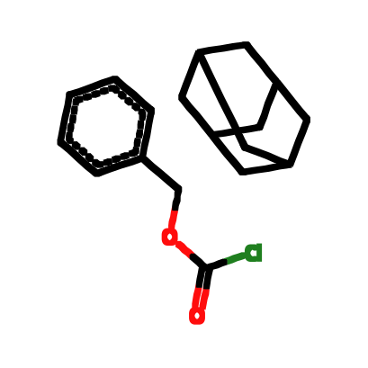 C1C2CC3CC1CC(C2)C3.O=C(Cl)OCc1ccccc1